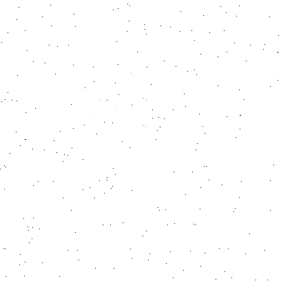 CC(C(=O)Nc1ccc(B(O)O)c(C#Cc2ccc3ccccc3c2)n1)N(C)C(=O)OC(C)(C)C